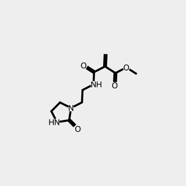 C=C(C(=O)NCCN1CCNC1=O)C(=O)OC